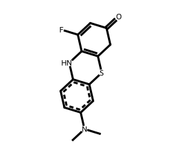 CN(C)c1ccc2c(c1)SC1=C(N2)C(F)=CC(=O)C1